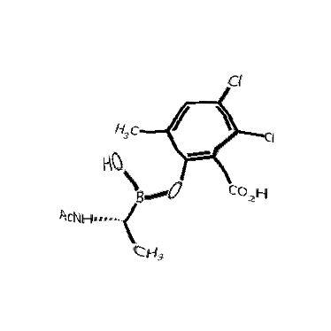 CC(=O)N[C@@H](C)B(O)Oc1c(C)cc(Cl)c(Cl)c1C(=O)O